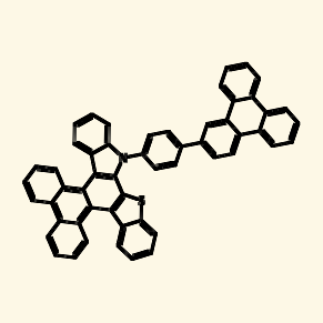 c1ccc2c(c1)sc1c2c2c3ccccc3c3ccccc3c2c2c3ccccc3n(-c3ccc(-c4ccc5c6ccccc6c6ccccc6c5c4)cc3)c12